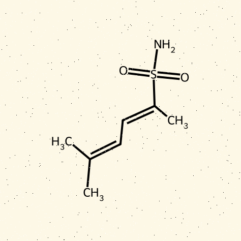 CC(C)=C/C=C(\C)S(N)(=O)=O